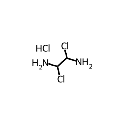 Cl.NC(Cl)C(N)Cl